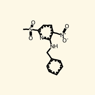 CS(=O)(=O)c1ccc([N+](=O)[O-])c(NCc2ccccc2)n1